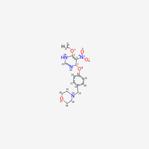 COC1=C([N+](=O)[O-])C(Oc2ccc(CN3CCOCC3)cc2)N=CN1